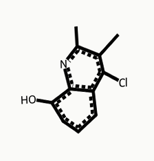 Cc1nc2c(O)cccc2c(Cl)c1C